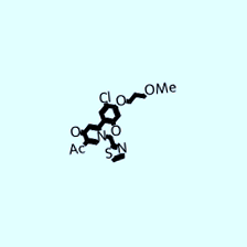 COCCCOc1cc2c(cc1Cl)-c1cc(=O)c(C(C)=O)cn1C(c1nccs1)O2